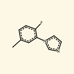 Cc1ccc(F)c(-n2ccnc2)c1